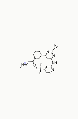 C/N=C/CC(=O)N1CCCC(c2cc(Nc3cc(C(F)(F)F)ccn3)nc(C3CC3)n2)C1